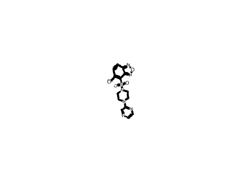 O=S(=O)(c1c(Cl)ccc2nonc12)N1CCN(c2cnccn2)CC1